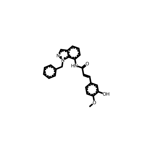 COc1ccc(C=CC(=O)Nc2cccc3cnn(Cc4ccccc4)c23)cc1O